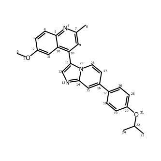 COc1ccc2nc(C)cc(-c3cnc4cc(-c5ccc(OC(C)C)cc5)ccn34)c2c1